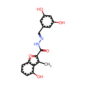 Cc1c(C(=O)N/N=C/c2cc(O)cc(O)c2)oc2cccc(O)c12